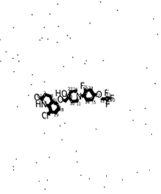 O=C1CCc2c(OCC3(O)CCN(c4ccc(OCC(F)(F)F)cc4F)CC3)ccc(Cl)c2N1